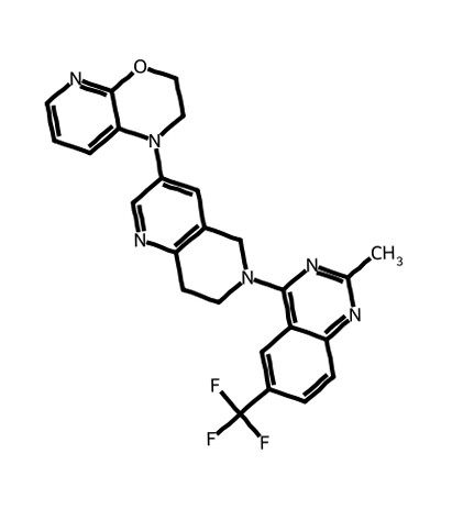 Cc1nc(N2CCc3ncc(N4CCOc5ncccc54)cc3C2)c2cc(C(F)(F)F)ccc2n1